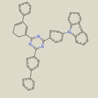 C1=C(c2ccccc2)C=C(c2nc(-c3ccc(-c4ccccc4)cc3)nc(-c3ccc(-n4c5ccccc5c5ccccc54)cc3)n2)CC1